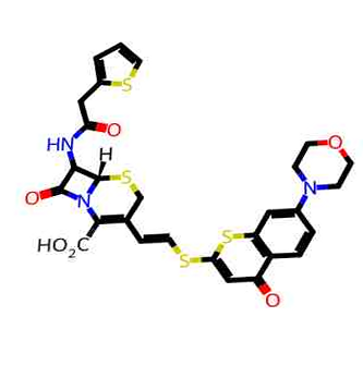 O=C(Cc1cccs1)NC1C(=O)N2C(C(=O)O)=C(C=CSc3cc(=O)c4ccc(N5CCOCC5)cc4s3)CS[C@@H]12